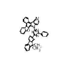 CC1(C)c2ccccc2-c2ccc(-c3nc(-c4ccccc4)nc(-n4c5ccncc5c5c6ccccc6c6c7ccccc7oc6c54)n3)cc21